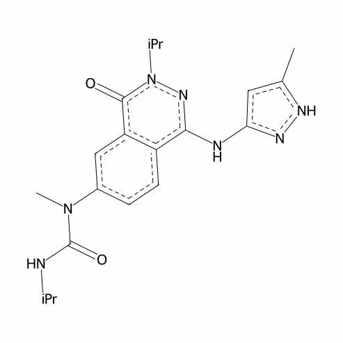 Cc1cc(Nc2nn(C(C)C)c(=O)c3cc(N(C)C(=O)NC(C)C)ccc23)n[nH]1